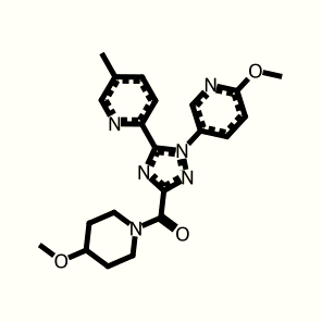 COc1ccc(-n2nc(C(=O)N3CCC(OC)CC3)nc2-c2ccc(C)cn2)cn1